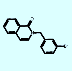 O=c1c2ccccc2ccn1Cc1cccc(Br)c1